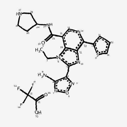 CCn1c(-c2nonc2N)nc2c(-c3cccs3)ncc(C(=O)NC3CCNC3)c21.O=C(O)C(F)(F)F